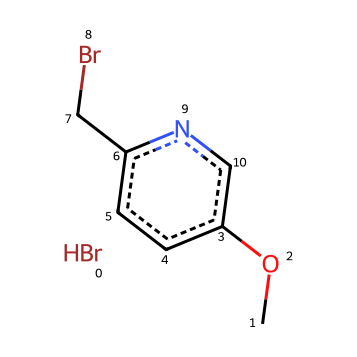 Br.COc1ccc(CBr)nc1